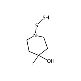 OC1(I)CCN(SS)CC1